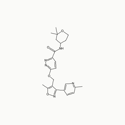 Cc1ccc(-c2noc(C)c2COc2ccc(C(=O)NC3CCOC(C)(C)C3)nn2)cn1